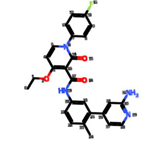 CCOc1ccn(-c2ccc(F)cc2)c(=O)c1C(=O)Nc1ccc(C)c(-c2ccnc(N)c2)c1